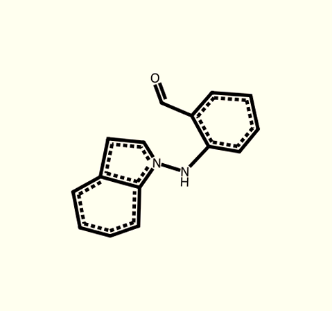 O=Cc1ccccc1Nn1ccc2ccccc21